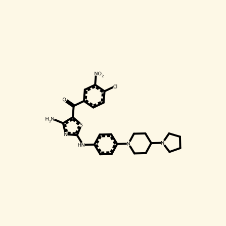 Nc1nc(Nc2ccc(N3CCC(N4CCCC4)CC3)cc2)sc1C(=O)c1ccc(Cl)c([N+](=O)[O-])c1